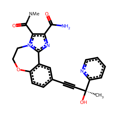 CNC(=O)c1c(C(N)=O)nc2n1CCOc1ccc(C#C[C@](C)(O)c3ccccn3)cc1-2